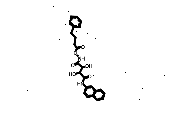 O=C(CCCc1ccccc1)ONC(=O)C(O)C(O)C(=O)Nc1ccc2ccccc2c1